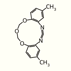 Cc1ccc2c(c1)N=C=Nc1cc(C)ccc1OCOCO2